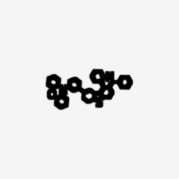 C1=C(c2cccc(N3c4ccccc4Oc4ccccc43)c2)CCc2sc3ccc4c(-c5ccccc5)nc5ccccc5c4c3c21